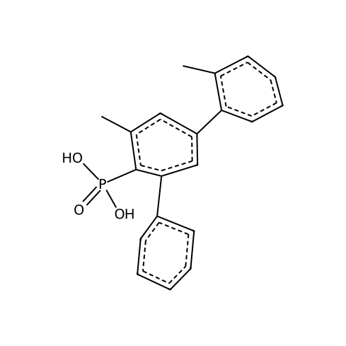 Cc1ccccc1-c1cc(C)c(P(=O)(O)O)c(-c2ccccc2)c1